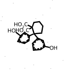 O=C(O)C1(C(=O)O)CCCCC1(c1cccc(O)c1)c1cccc(O)c1